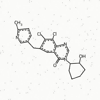 Cc1ccc(Cc2cc3c(=O)n(C4CCCCC4O)cnc3c(Cl)c2Cl)cn1